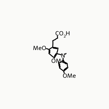 COc1ccc(N(C)c2cc(CCC(=O)O)c(OC)cc2OC)cc1